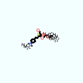 CCN(CC)c1ccc(C=Cc2sc(C=O)c3c2OCC(CO[Si](C)(C)C(C)(C)C)O3)cc1